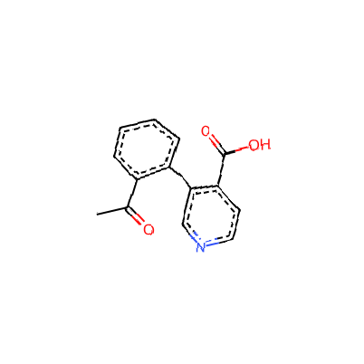 CC(=O)c1ccccc1-c1cnccc1C(=O)O